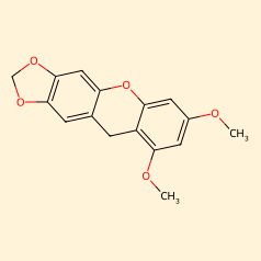 COc1cc(OC)c2c(c1)Oc1cc3c(cc1C2)OCO3